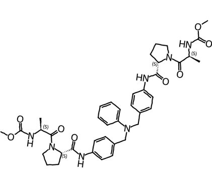 COC(=O)N[C@@H](C)C(=O)N1CCC[C@H]1C(=O)Nc1ccc(CN(Cc2ccc(NC(=O)[C@@H]3CCCN3C(=O)[C@H](C)NC(=O)OC)cc2)c2ccccc2)cc1